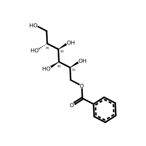 O=C(OC[C@H](O)[C@@H](O)[C@H](O)[C@H](O)CO)c1ccccc1